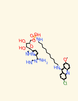 COc1ccc2nc3cc(Cl)ccc3c(NCCCCCCCCCCNP(=O)(O)OC[C@H]3O[C@@](C#N)(c4ccc(/C(N)=N\C=N)[nH]4)[C@H](O)[C@@H]3O)c2c1